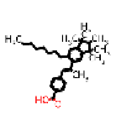 CCCCCCCCc1cc2c(cc1C(C)=Cc1ccc(C(=O)O)cc1)C(C)(C)C(C)C2(C)C